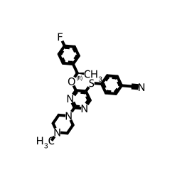 C[C@@H](Oc1nc(N2CCN(C)CC2)ncc1Sc1ccc(C#N)cc1)c1ccc(F)cc1